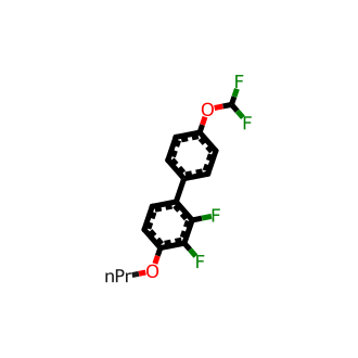 CCCOc1ccc(-c2ccc(OC(F)F)cc2)c(F)c1F